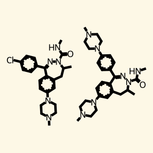 CNC(=O)N1N=C(c2ccc(Cl)cc2)c2ccc(N3CCN(C)CC3)cc2CC1C.CNC(=O)N1N=C(c2ccc(N3CCN(C)CC3)cc2)c2ccc(N3CCN(C)CC3)cc2CC1C